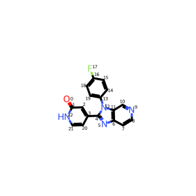 O=c1cc(-c2nc3ccncc3n2-c2ccc(F)cc2)cc[nH]1